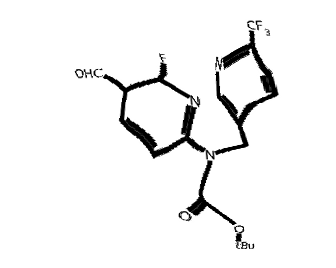 CC(C)(C)OC(=O)N(Cc1ccc(C(F)(F)F)nc1)C1=NC(F)C(C=O)C=C1